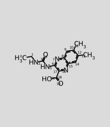 CCNC(=O)Nc1nc2cc(C)c(C)cc2nc1C(=O)O